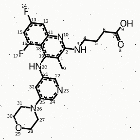 Cc1c(NCCCC(=O)O)nc2cc(F)cc(F)c2c1Nc1cncc(N2CCOCC2)c1